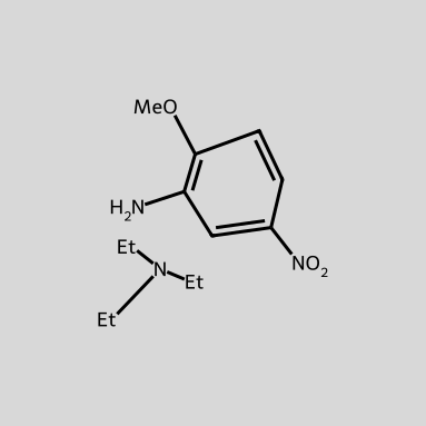 CCN(CC)CC.COc1ccc([N+](=O)[O-])cc1N